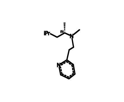 CC(C)C[C@H](C)N(C)CCc1ccccn1